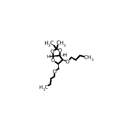 CCCCOC[C@H]1O[C@@H]2OC(C)(C)O[C@H]2[C@H]1OCCCC